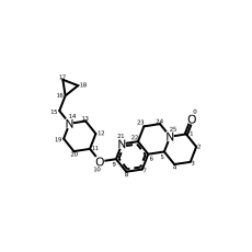 O=C1CCCC2c3ccc(OC4CCN(CC5CC5)CC4)nc3CCN12